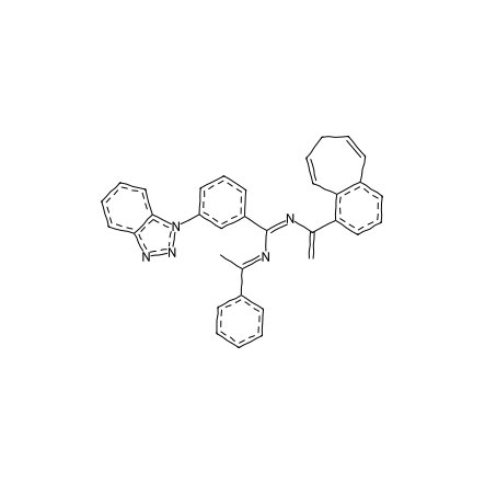 C=C(/N=C(\N=C(/C)c1ccccc1)c1cccc(-n2nnc3ccccc32)c1)c1cccc2c1C=CCC=C2